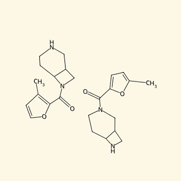 Cc1ccc(C(=O)N2CCC3NCC3C2)o1.Cc1ccoc1C(=O)N1CC2CNCCC21